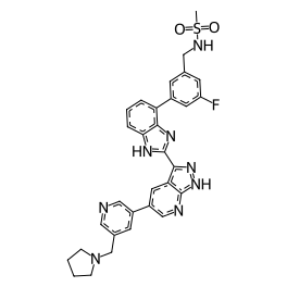 CS(=O)(=O)NCc1cc(F)cc(-c2cccc3[nH]c(-c4n[nH]c5ncc(-c6cncc(CN7CCCC7)c6)cc45)nc23)c1